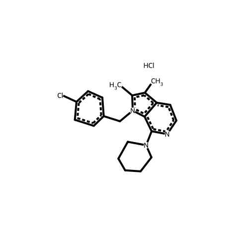 Cc1c(C)n(Cc2ccc(Cl)cc2)c2c(N3CCCCC3)nccc12.Cl